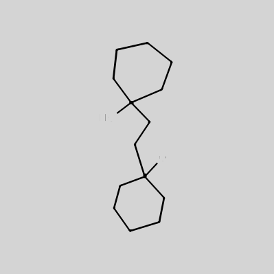 OC1(CCC2(O)CCCCC2)CCCCC1